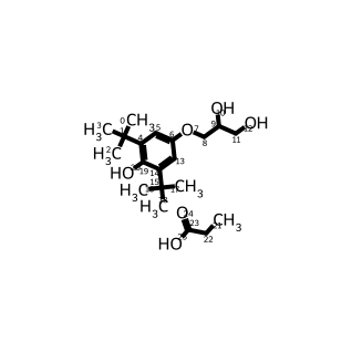 CC(C)(C)c1cc(OCC(O)CO)cc(C(C)(C)C)c1O.CCC(=O)O